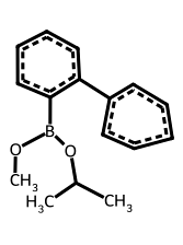 COB(OC(C)C)c1ccccc1-c1ccccc1